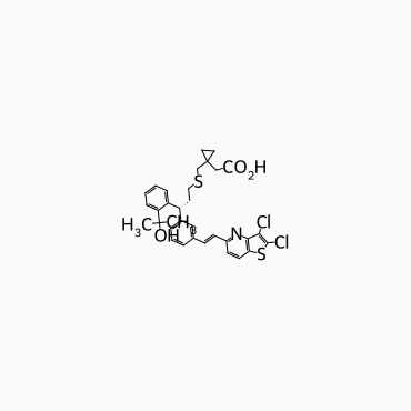 CC(C)(O)c1ccccc1[C@H](CCSCC1(CC(=O)O)CC1)c1cccc(/C=C/c2ccc3sc(Cl)c(Cl)c3n2)c1